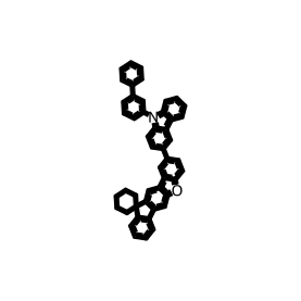 c1ccc(-c2cccc(-n3c4ccccc4c4cc(-c5ccc6oc7cc8c(cc7c6c5)C5(CCCCC5)c5ccccc5-8)ccc43)c2)cc1